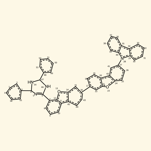 c1ccc(C2N=C(c3cccc4c3oc3cc(-c5ccc6c(c5)oc5ccc(-n7c8ccccc8c8ccccc87)cc56)ccc34)NC(c3ccccc3)N2)cc1